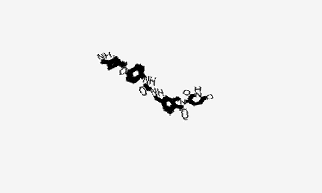 NCC12CC(COc3ccc(NC(=O)NCc4ccc5c(c4)CN(C4CCC(=O)NC4=O)C5=O)cc3)(C1)C2